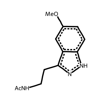 COc1ccc2[nH]nc(CCNC(C)=O)c2c1